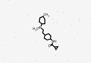 CC1CCC(N(C)CCC2CCC(NC(=O)C3CC3)CC2)CC1